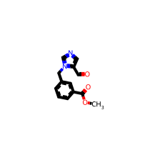 COC(=O)c1cccc(Cn2cncc2C=O)c1